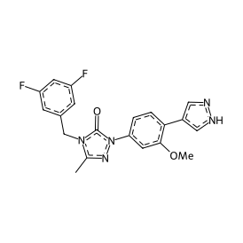 COc1cc(-n2nc(C)n(Cc3cc(F)cc(F)c3)c2=O)ccc1-c1cn[nH]c1